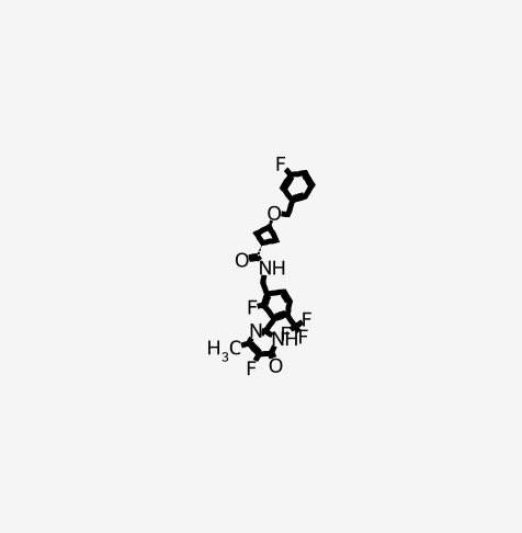 Cc1nc(-c2c(C(F)(F)F)ccc(CNC(=O)[C@H]3C[C@H](OCc4cccc(F)c4)C3)c2F)[nH]c(=O)c1F